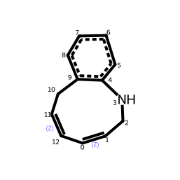 C1=C\CNc2ccccc2C\C=C/1